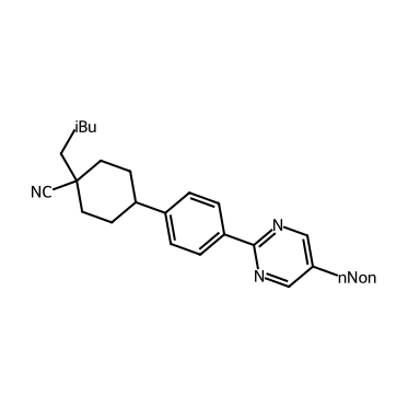 CCCCCCCCCc1cnc(-c2ccc(C3CCC(C#N)(CC(C)CC)CC3)cc2)nc1